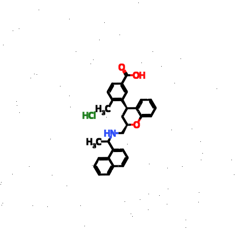 Cc1ccc(C(=O)O)cc1[C@@H]1C[C@H](CNC(C)c2cccc3ccccc23)Oc2ccccc21.Cl